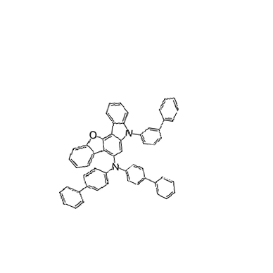 c1ccc(-c2ccc(N(c3ccc(-c4ccccc4)cc3)c3cc4c(c5ccccc5n4-c4cccc(-c5ccccc5)c4)c4oc5ccccc5c34)cc2)cc1